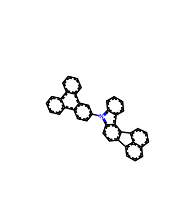 c1cc2c3c(cccc3c1)-c1c-2ccc2c1c1ccccc1n2-c1ccc2c3ccccc3c3ccccc3c2c1